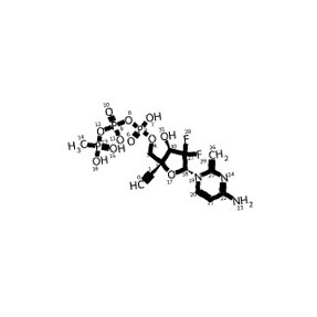 C#C[C@]1(COP(=O)(O)OP(=O)(O)OP(C)(=O)O)O[C@@H](N2C=CC(N)=NC2=C)C(F)(F)[C@@H]1O